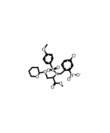 COC(=O)C(COC1CCCCO1)N(Cc1ccc(Cl)cc1[N+](=O)[O-])S(=O)(=O)c1ccc(OC)cc1